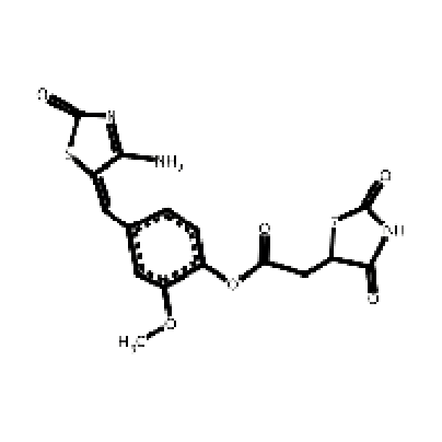 COc1cc(C=C2SC(=O)N=C2N)ccc1OC(=O)CC1SC(=O)NC1=O